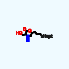 CCCCCCCCCCC1CNC(CO)C(=O)O1